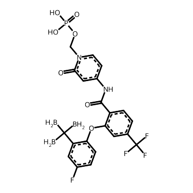 BC(B)(B)c1cc(F)ccc1Oc1cc(C(F)(F)F)ccc1C(=O)Nc1ccn(COP(=O)(O)O)c(=O)c1